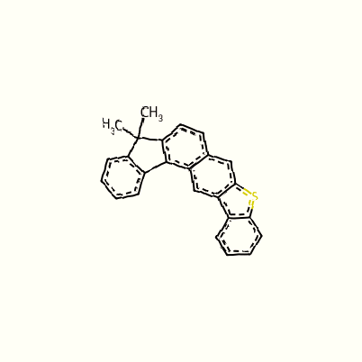 CC1(C)c2ccccc2-c2c1ccc1cc3sc4ccccc4c3cc21